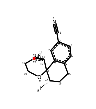 N#Cc1ccc2c(c1)C1(OCCn3cncc31)[C@@H](I)CC2